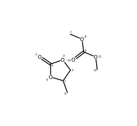 CC1COC(=O)O1.COC(=O)OC